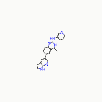 Cc1nc(Nc2cccnc2)nc2ccc(-c3cnc4[nH]ccc4c3)cc12